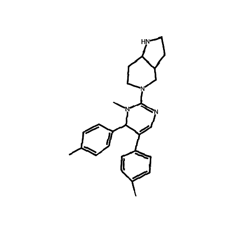 Cc1ccc(C2=CN=C(N3CCC4NCCC4C3)N(C)C2c2ccc(C)cc2)cc1